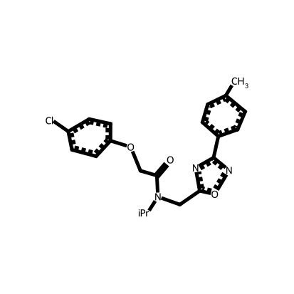 Cc1ccc(-c2noc(CN(C(=O)COc3ccc(Cl)cc3)C(C)C)n2)cc1